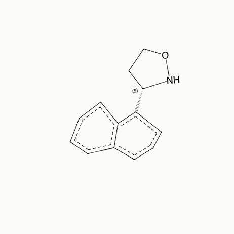 c1ccc2c([C@@H]3CCON3)cccc2c1